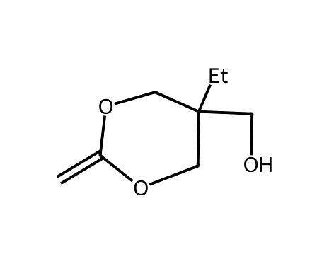 C=C1OCC(CC)(CO)CO1